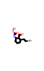 CCCC=Cc1cccc2nc(OCC)oc(=O)c12